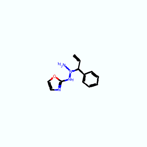 C=CC(c1ccccc1)N(N)Nc1ncco1